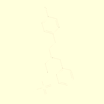 CS(=O)(=O)OCCN(CCc1ccc([N+](=O)[O-])cc1)Cc1ccccc1